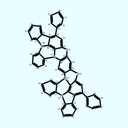 c1ccc(-c2cc3c4c5c2c2ccccc2n5-c2ccccc2B4c2cc4c(cc2S3)Sc2cc(-c3ccccc3)c3c5ccccc5n5c3c2B4c2ccccc2-5)cc1